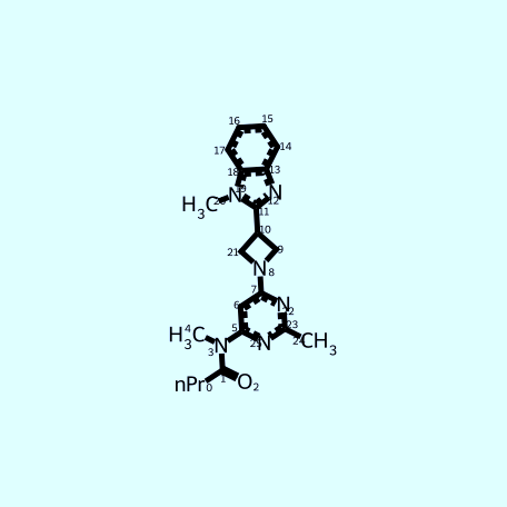 CCCC(=O)N(C)c1cc(N2CC(c3nc4ccccc4n3C)C2)nc(C)n1